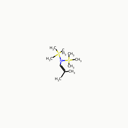 CC(C)=CN(S(C)(C)C)S(C)(C)C